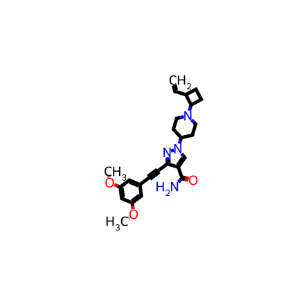 C=CC1CCC1N1CCC(n2cc(C(N)=O)c(C#Cc3cc(OC)cc(OC)c3)n2)CC1